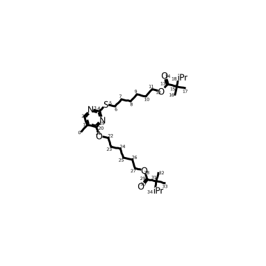 Cc1cnc(SCCCCCCOC(=O)C(C)(C)C(C)C)nc1OCCCCCCOC(=O)C(C)(C)C(C)C